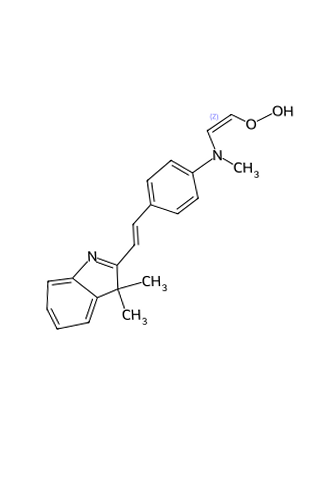 CN(/C=C\OO)c1ccc(C=CC2=Nc3ccccc3C2(C)C)cc1